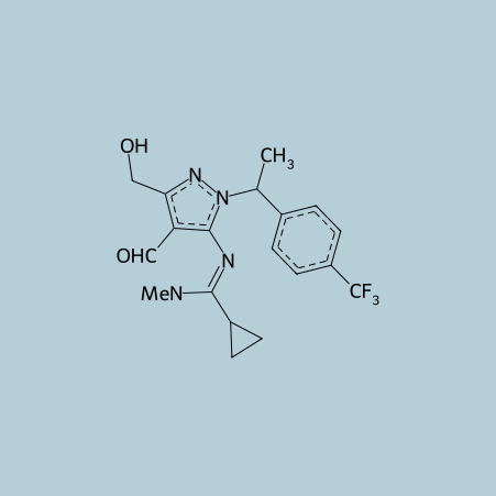 CN/C(=N\c1c(C=O)c(CO)nn1C(C)c1ccc(C(F)(F)F)cc1)C1CC1